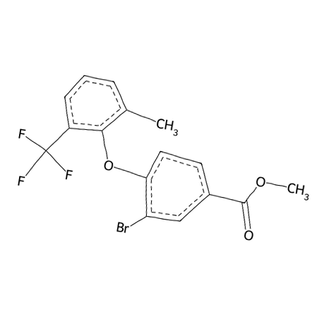 COC(=O)c1ccc(Oc2c(C)cccc2C(F)(F)F)c(Br)c1